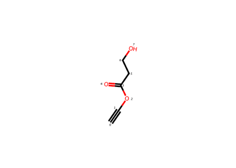 C#COC(=O)CCO